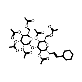 CC(=O)OC[C@H]1O[C@H](C/C=C/C2CCCCC2)[C@@H](OC(C)=O)[C@H](O[C@H]2O[C@H](COC(C)=O)[C@@H](OC(C)=O)[C@@H](OC(C)=O)[C@H]2OC(C)=O)[C@@H]1OC(C)=O